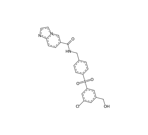 O=C(NCc1ccc(S(=O)(=O)c2cc(Cl)cc(CO)c2)cc1)c1ccc2nccn2c1